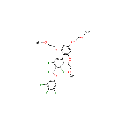 CCCOCCOc1cc(OCCOCCC)c(-c2cc(F)c(C(F)Oc3cc(F)c(F)c(F)c3)c(F)c2)c(OCCOCCC)c1